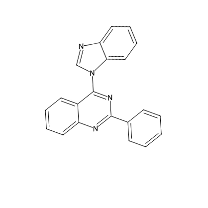 c1ccc(-c2nc(-n3cnc4ccccc43)c3ccccc3n2)cc1